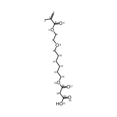 C=C(C)C(=O)OCCOCCCCCCOC(=O)CC(=O)O